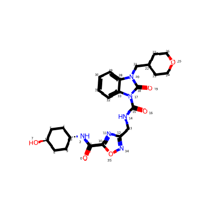 O=C(N[C@H]1CC[C@H](O)CC1)c1nc(CNC(=O)n2c(=O)n(CC3CCOCC3)c3ccccc32)no1